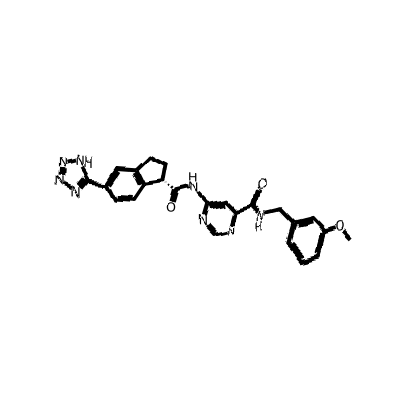 COc1cccc(CNC(=O)c2cc(NC(=O)[C@H]3CCc4cc(-c5nnn[nH]5)ccc43)ncn2)c1